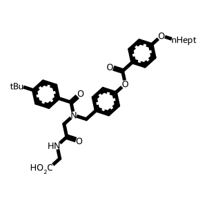 CCCCCCCOc1ccc(C(=O)Oc2ccc(CN(CC(=O)NCC(=O)O)C(=O)c3ccc(C(C)(C)C)cc3)cc2)cc1